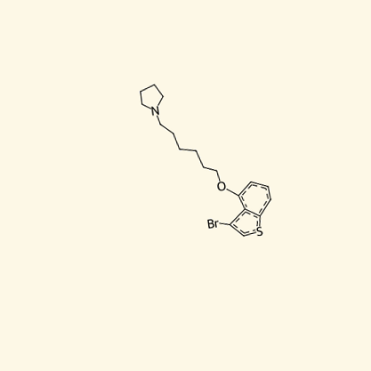 Brc1csc2cccc(OCCCCCCN3CCCC3)c12